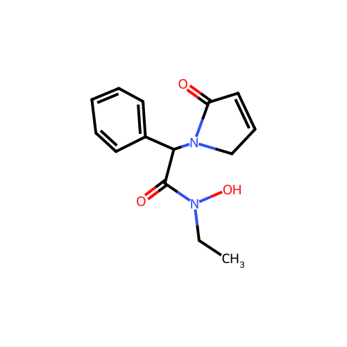 CCN(O)C(=O)C(c1ccccc1)N1CC=CC1=O